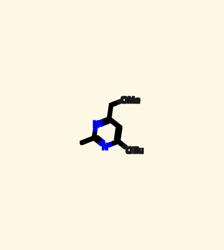 COCc1cc(OCC(C)C)nc(C)n1